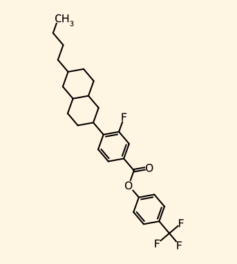 CCCCC1CCC2CC(c3ccc(C(=O)Oc4ccc(C(F)(F)F)cc4)cc3F)CCC2C1